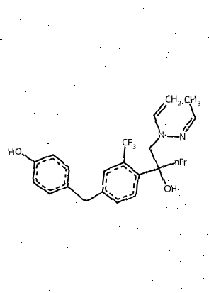 C=CN(CC(O)(CCC)c1ccc(Cc2ccc(O)cc2)cc1C(F)(F)F)/N=C\C